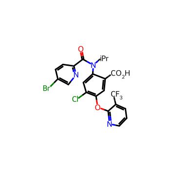 CC(C)N(C(=O)c1ccc(Br)cn1)c1cc(Cl)c(Oc2ncccc2C(F)(F)F)cc1C(=O)O